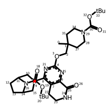 CC1(COc2nc3c(c(N4CC5CCC(C4)N5C(=O)OC(C)(C)C)n2)CCNC3=O)CCN(C(=O)OC(C)(C)C)CC1